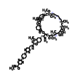 CNC(=O)c1cnc(N2CCN(c3ncc(CNC(=O)O[C@@H]4CC[C@@H](C[C@@H](N)[C@@H]5CC(=O)[C@H](C)/C=C(\C)[C@@H](O)[C@@H](O)C(=O)[C@H](C)C[C@H](C)/C=C/C=C/C=C(\C)[C@@H](OC)C[C@@H]6CC[C@@H](C)[C@@](O)(O6)C(=O)C(=O)N6CCCC[C@H]6C(=O)O5)C[C@H]4OC)cn3)CC2)nc1